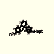 CCCCCCCC12CCC(C3(F)C=CC=CC3c3ccc(CCC)cc3)(CC1)CC2